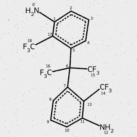 Nc1cccc(C(c2cccc(N)c2C(F)(F)F)(C(F)(F)F)C(F)(F)F)c1C(F)(F)F